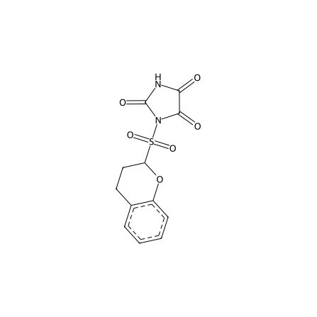 O=C1NC(=O)N(S(=O)(=O)C2CCc3ccccc3O2)C1=O